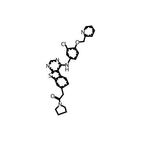 O=C(Cc1ccc2c(c1)sc1ncnc(Nc3ccc(OCc4ccccn4)c(Cl)c3)c12)N1CCCC1